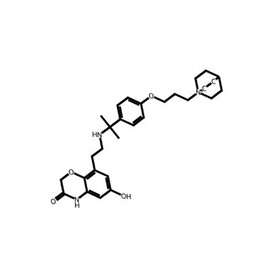 CC(C)(NCCc1cc(O)cc2c1OCC(=O)N2)c1ccc(OCCC[N+]23CCC(CC2)CC3)cc1